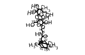 C[C@H]1C(CO)O[C@@H](O[C@H]2C(CO)O[C@H](OCCNC(=O)CC34CC5CC(C)(CC(C)(C5)C3)C4)[C@H](O)C2O)[C@H](O)C1O